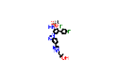 CCS(=O)(=O)Nc1cc(-c2ccc(F)cc2F)cc(-n2cnc3cc(-c4cn(CCC(C)(C)O)nn4)ccc32)c1